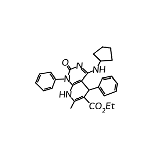 CCOC(=O)C1=C(C)Nc2c(c(NC3CCCC3)nc(=O)n2-c2ccccc2)C1c1ccccc1